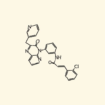 O=C(/C=C/c1ccccc1Cl)Nc1cccc(-n2c(=O)c(Cc3cccnc3)nc3cccnc32)c1